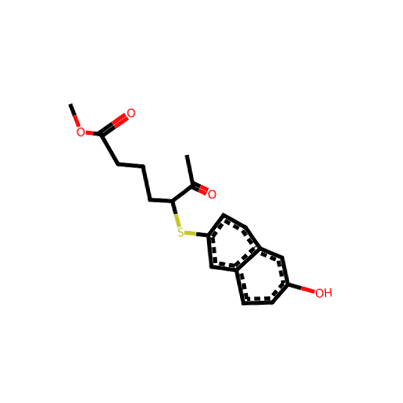 COC(=O)CCCC(Sc1ccc2cc(O)ccc2c1)C(C)=O